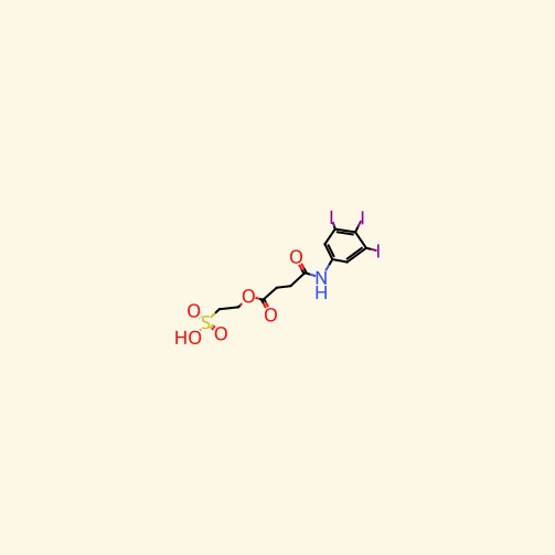 O=C(CCC(=O)OCCS(=O)(=O)O)Nc1cc(I)c(I)c(I)c1